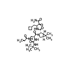 C=CC(=O)NC[C@H](NC(=O)NC(C)(C)C)C(=O)N1C[C@H]2[C@@H]([C@H]1C(=O)NC(CC1CCC1)C(=O)C(N)=O)C2(C)C